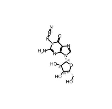 [N-]=[N+]=Nn1c(N)nc2c(ncn2[C@@H]2O[C@H](CO)[C@@H](O)[C@H]2O)c1=O